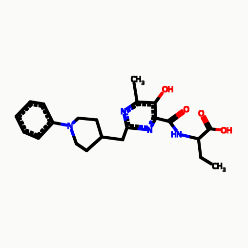 CCC(NC(=O)c1nc(CC2CCN(c3ccccc3)CC2)nc(C)c1O)C(=O)O